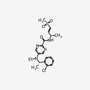 CCN(c1cnc(C(=O)N[C@H](C)/C=C/S(C)(=O)=O)nc1)[C@@H](C)c1ccccc1Cl